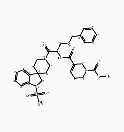 CC(C)(C)OC(=O)N1CCC=C(C(=O)N[C@H](COCc2ccccc2)C(=O)N2CCC3(CC2)CN(S(C)(=O)=O)c2ccccc23)C1